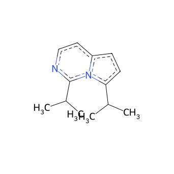 CC(C)c1ccc2ccnc(C(C)C)n12